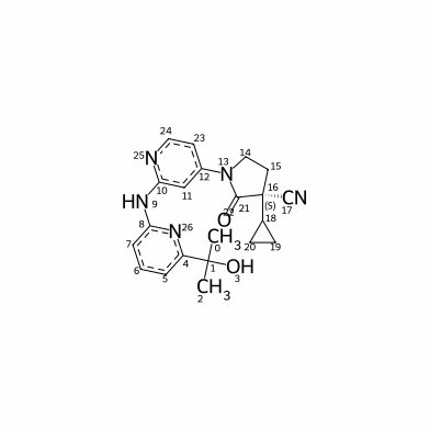 CC(C)(O)c1cccc(Nc2cc(N3CC[C@@](C#N)(C4CC4)C3=O)ccn2)n1